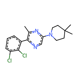 Cc1nc(N2CCC(C)(C)CC2)cnc1-c1cccc(Cl)c1Cl